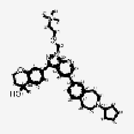 CC1(O)CCOc2cc(-c3nn(COCC[Si](C)(C)C)c4ncc(-c5ccc6c(c5)CCN(C5CCCC5)CC6)cc34)ccc21